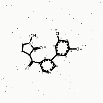 CN1CCC(C(=O)c2cncc(-c3cc(Cl)cc(Cl)c3)c2)C1=O